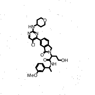 COc1cccc(C(C)NC(=O)C(CCO)N2Cc3ccc(-c4nc(NC5CCOCC5)ncc4Cl)cc3C2=O)c1